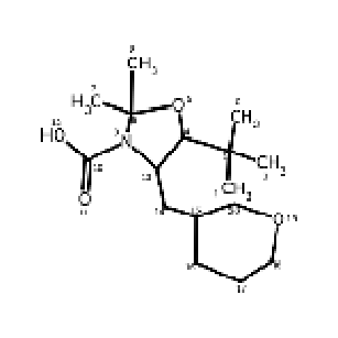 CC(C)(C)C1OC(C)(C)N(C(=O)O)C1CC1CCCOC1